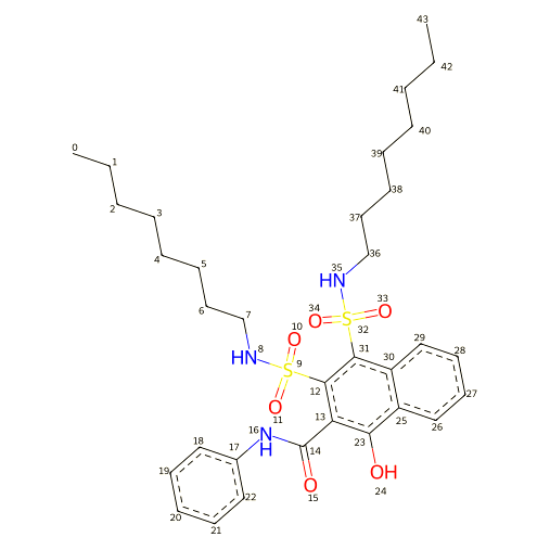 CCCCCCCCNS(=O)(=O)c1c(C(=O)Nc2ccccc2)c(O)c2ccccc2c1S(=O)(=O)NCCCCCCCC